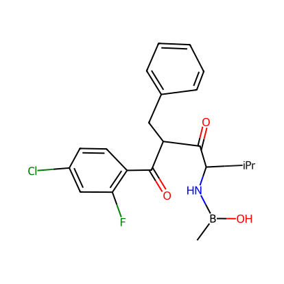 CB(O)NC(C(=O)C(Cc1ccccc1)C(=O)c1ccc(Cl)cc1F)C(C)C